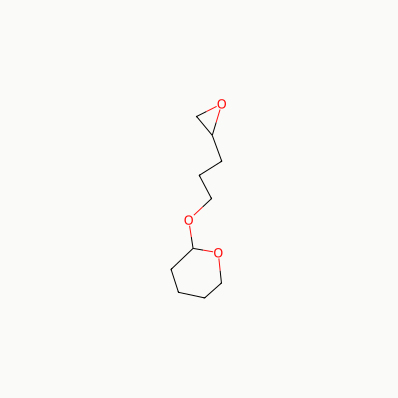 C1CCC(OCCCC2CO2)OC1